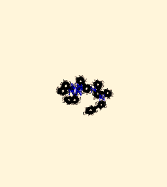 c1ccc(-c2cccc(-n3c4ccccc4c4c5c6ccccc6n(-c6ccc7c(c6)c6ccccc6n7-c6nc(-c7cccc8ccccc78)nc(-c7cccc8ccccc78)n6)c5ccc43)c2)cc1